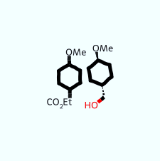 CCOC(=O)C1CCC(OC)CC1.CO[C@H]1CC[C@H](CO)CC1